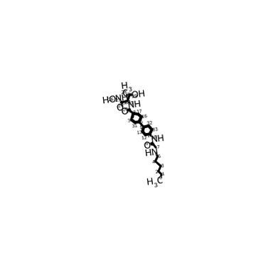 CCCCCCNCC(=O)Nc1ccc(-c2ccc(C(=O)N[C@H](C(=O)NO)[C@@H](C)O)cc2)cc1